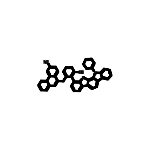 N#Cc1ccc2c(Cc3cccc(C#N)c3-c3cccc4c3oc3c4ccc4c5ccccc5n(C5=CC=CCC5)c43)cc3ccccc3c2c1